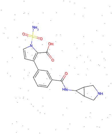 NS(=O)(=O)n1ccc(-c2cccc(C(=O)NC3C4CNCC43)c2)c1C(=O)O